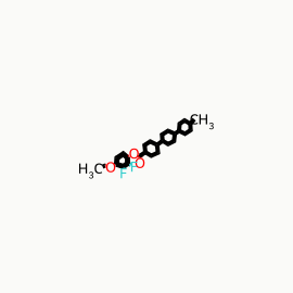 CCOc1ccc(OC(=O)C2CCC(C3CCC(C4CCC(C)CC4)CC3)CC2)c(F)c1F